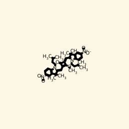 COC1=C(/C=C2\N(CCC(C)C)c3ccc([N+](=O)[O-])cc3C2(C)C)C(=O)/C1=C/C1=[N+](CCC(C)C)c2ccc([N+](=O)[O-])cc2C1(C)C